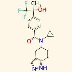 CC(O)(c1ccc(C(=O)N(C2CC2)C2CCc3[nH]ncc3C2)cc1)C(F)(F)F